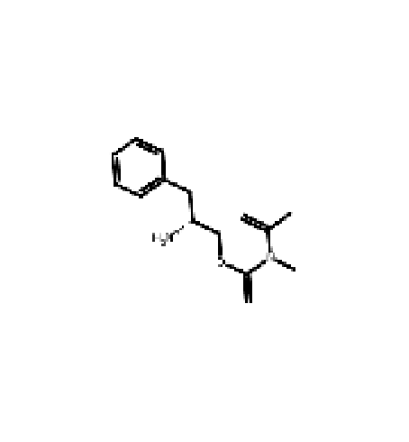 C=C(C)N(C)C(=C)OC[C@H](N)Cc1ccccc1